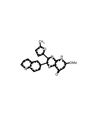 COc1cc(=O)c2nc(-c3ccc4ncccc4c3)c(-c3ccc(C)o3)nc2[nH]1